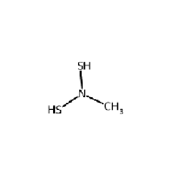 CN(S)S